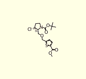 COC(=O)c1ccc(COC[C@H]2[C@H](Cl)CCN2C(=O)OC(C)(C)C)s1